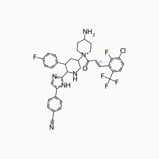 N#Cc1ccc(-c2cnc(C3NCC([N+]4(C(=O)/C=C/c5c(C(F)(F)F)ccc(Cl)c5F)CCC(N)CC4)CC3c3ccc(F)cc3)[nH]2)cc1